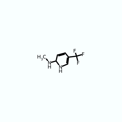 CNC1C=CC(C(F)(F)F)=CN1